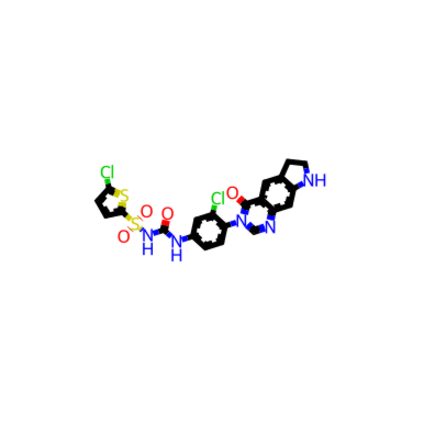 O=C(Nc1ccc(-n2cnc3cc4c(cc3c2=O)CCN4)c(Cl)c1)NS(=O)(=O)c1ccc(Cl)s1